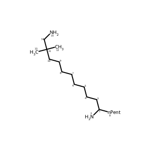 CCCCCC(N)CCCCCCCCC(C)(C)CN